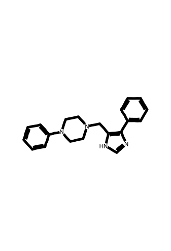 c1ccc(-c2nc[nH]c2CN2CCN(c3ccccc3)CC2)cc1